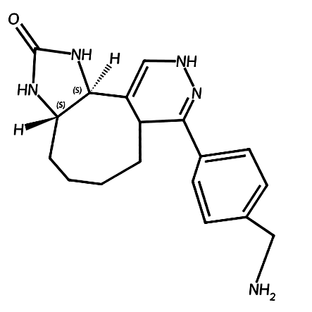 NCc1ccc(C2=NNC=C3C2CCCC[C@@H]2NC(=O)N[C@@H]32)cc1